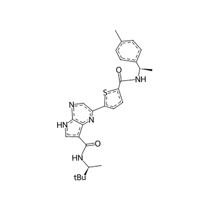 Cc1ccc([C@@H](C)NC(=O)c2ccc(-c3cnc4[nH]cc(C(=O)N[C@@H](C)C(C)(C)C)c4n3)s2)cc1